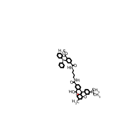 C=c1ccc2c(c1)Oc1cc(N(C)C)ccc1C=2c1ccc(C(=O)NCCCCNC(=O)c2ccc(C(=O)OC)c(P(c3ccccc3)c3ccccc3)c2)cc1C(=O)O